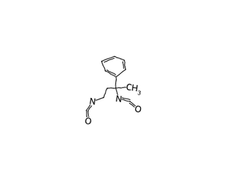 CC(CCN=C=O)(N=C=O)c1ccccc1